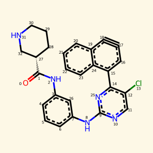 O=C(Nc1cccc(Nc2ncc(Cl)c(-c3cc#cc4ccccc34)n2)c1)[C@H]1CCCNC1